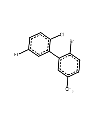 CCc1ccc(Cl)c(-c2cc(C)[c]cc2Br)c1